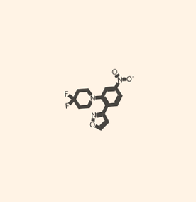 O=[N+]([O-])c1ccc(-c2ccon2)c(N2CCC(F)(F)CC2)c1